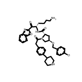 NCCCC[C@H](NC(=O)[C@@H]1C[C@@H](OCc2ccc(Cl)cc2)CN1C(=O)Cc1ccc(C2CCNCC2)cc1)C(=O)c1nc2ccccc2o1